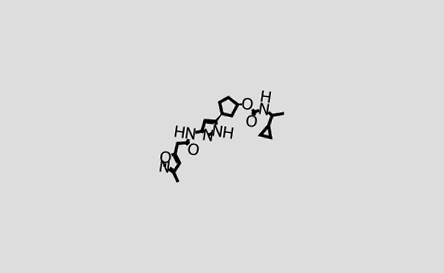 Cc1cc(CC(=O)Nc2cc([C@H]3CC[C@@H](OC(=O)NC(C)C4CC4)C3)[nH]n2)on1